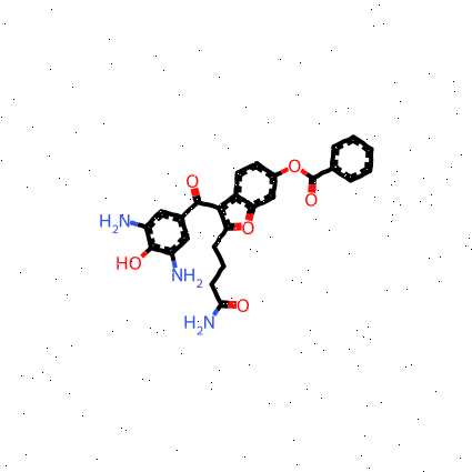 NC(=O)CCCc1oc2cc(OC(=O)c3ccccc3)ccc2c1C(=O)c1cc(N)c(O)c(N)c1